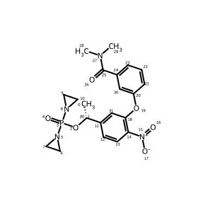 C[C@@H](OP(=O)(N1CC1)N1CC1)c1ccc([N+](=O)[O-])c(Oc2cccc(C(=O)N(C)C)c2)c1